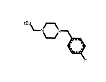 CC(C)(C)CN1CCN(Cc2ccc(F)cc2)CC1